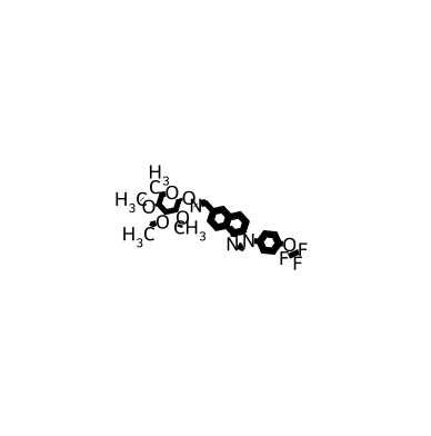 CCO[C@@H]1[C@@H](OC)[C@H](C)O[C@@H](O/N=C/c2ccc3c(ccc4c3ncn4-c3ccc(OC(F)(F)F)cc3)c2)[C@@H]1OC